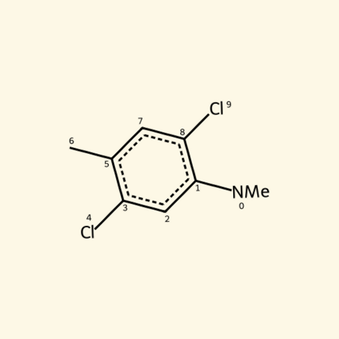 CNc1cc(Cl)c(C)cc1Cl